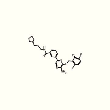 Nc1ncc(-c2cccc(C(=O)NCCCN3CCCC3)c2)nc1OCc1c(F)ccc(F)c1Cl